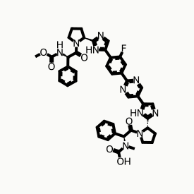 COC(=O)N[C@@H](C(=O)N1CCC[C@H]1c1ncc(-c2ccc(-c3ncc(-c4cnc([C@@H]5CCCN5C(=O)[C@@H](c5ccccc5)N(C)C(=O)O)[nH]4)cn3)cc2F)[nH]1)c1ccccc1